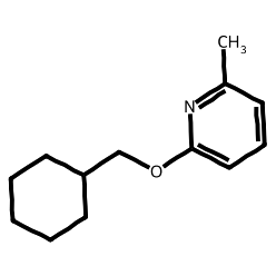 Cc1cccc(OCC2CCCCC2)n1